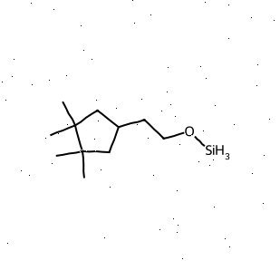 CC1(C)CC(CCO[SiH3])CC1(C)C